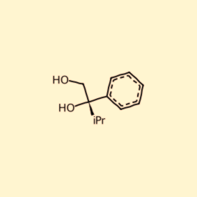 CC(C)[C@@](O)(CO)c1ccccc1